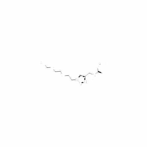 CCCOC(=O)NCc1cn(CCOCCOCC(C)=O)nn1